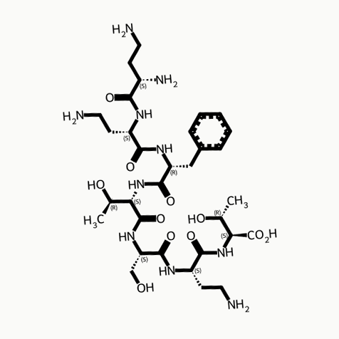 C[C@@H](O)[C@H](NC(=O)[C@H](CCN)NC(=O)[C@H](CO)NC(=O)[C@@H](NC(=O)[C@@H](Cc1ccccc1)NC(=O)[C@H](CCN)NC(=O)[C@@H](N)CCN)[C@@H](C)O)C(=O)O